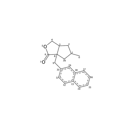 CC1CC2COC(=O)C2(Cc2ccc3ccccc3c2)C1